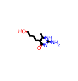 Cc1[nH]c(N)nc(=O)c1CCCCO